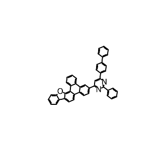 c1ccc(-c2ccc(-c3cc(-c4ccc5c(c4)c4ccccc4c4c5ccc5c6ccccc6oc54)nc(-c4ccccc4)n3)cc2)cc1